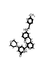 Cc1ccc(CNc2ccc3c(c2)Cc2ccnc(-c4cc(N5CCOCC5)cc(=O)[nH]4)c2O3)cn1